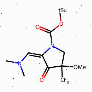 COC1(C(F)(F)F)CN(C(=O)OC(C)(C)C)/C(=C/N(C)C)C1=O